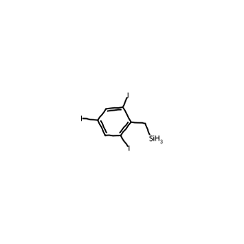 [SiH3]Cc1c(I)cc(I)cc1I